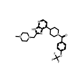 CN1CCN(Cc2nc3c(C4CCN(C(=O)c5ccc(OC(F)(F)F)cc5)CC4)ccnc3[nH]2)CC1